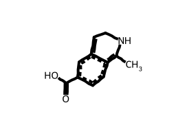 CC1=c2ccc(C(=O)O)cc2=CCN1